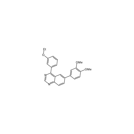 CCOc1cccc(-c2ncnc3ccc(-c4ccc(OC)c(OC)c4)cc23)c1